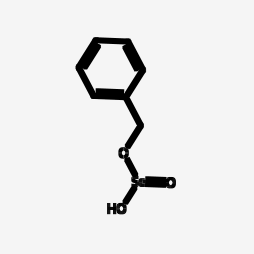 O=[Se](O)OCc1ccccc1